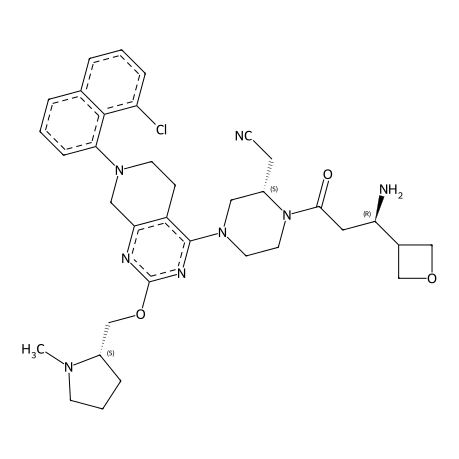 CN1CCC[C@H]1COc1nc2c(c(N3CCN(C(=O)C[C@@H](N)C4COC4)[C@@H](CC#N)C3)n1)CCN(c1cccc3cccc(Cl)c13)C2